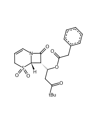 CC(C)(C)C(=O)CC(OC(=O)Cc1ccccc1)[C@H]1C(=O)N2C=CCS(=O)(=O)[C@@H]12